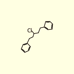 ClC(CCc1ccccc1)CCc1ccccc1